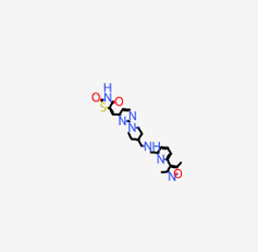 Cc1noc(C)c1-c1cccc(CNCC2CCN(c3nccc(/C=C4/SC(=O)NC4=O)n3)CC2)n1